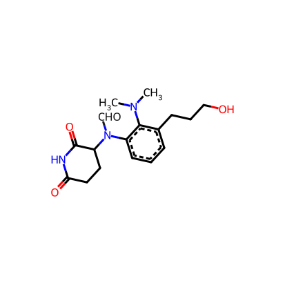 CN(C)c1c(CCCO)cccc1N(C=O)C1CCC(=O)NC1=O